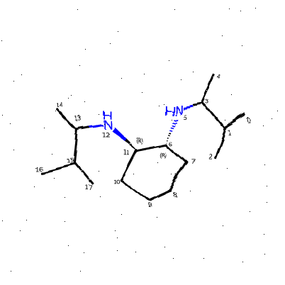 CC(C)C(C)N[C@@H]1CCCC[C@H]1NC(C)C(C)C